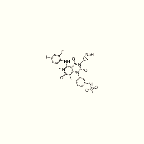 Cc1c(=O)n(C)c(Nc2ccc(I)cc2F)c2c(=O)n(C3CC3)c(=O)n(-c3cccc(NS(C)(=O)=O)c3)c12.[NaH]